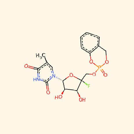 Cc1cn([C@@H]2O[C@](F)(COP3(=O)OCc4ccccc4O3)[C@@H](O)[C@H]2O)c(=O)[nH]c1=O